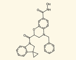 O=C(NO)c1ccc2c(c1)OC(C(=O)N1CC3(CC3)c3ccccc31)CN2Cc1ccccc1